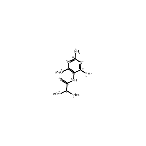 CCCCCCCCC(CCCCCC)C(=S)Nc1c(OC)nc(N)nc1SC